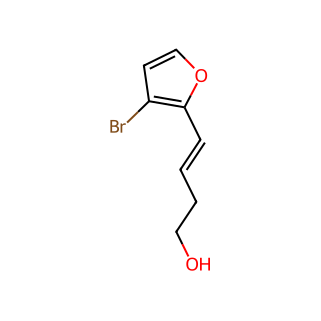 OCCC=Cc1occc1Br